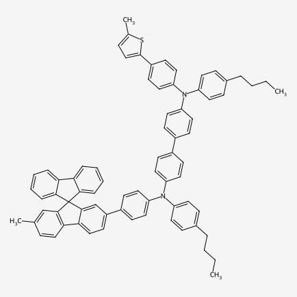 CCCCc1ccc(N(c2ccc(-c3ccc(N(c4ccc(CCCC)cc4)c4ccc(-c5ccc(C)s5)cc4)cc3)cc2)c2ccc(-c3ccc4c(c3)C3(c5ccccc5-c5ccccc53)c3cc(C)ccc3-4)cc2)cc1